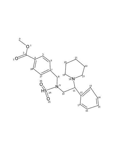 COC(=O)c1ccc(CN(CC(c2ccccc2)N2CCCCC2)[SH](=O)=O)cc1